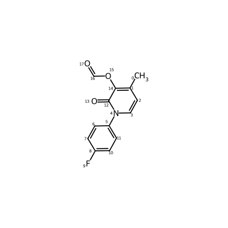 Cc1ccn(-c2ccc(F)cc2)c(=O)c1OC=O